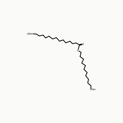 CCCCCCCCCCCCCCCCCCCCCCCC(=O)OCCCCCCCCCCCCCCCCCCCCC